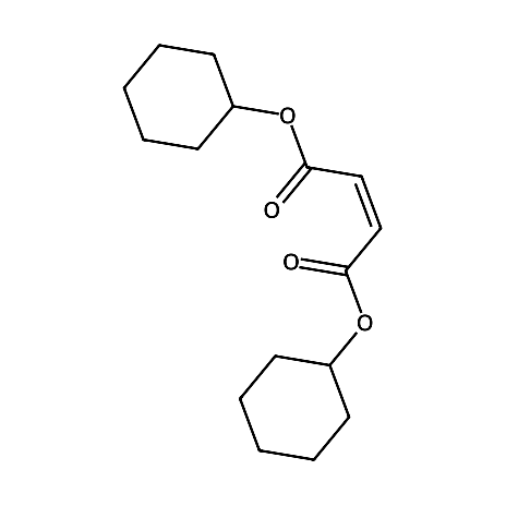 O=C(/C=C\C(=O)OC1CCCCC1)OC1CCCCC1